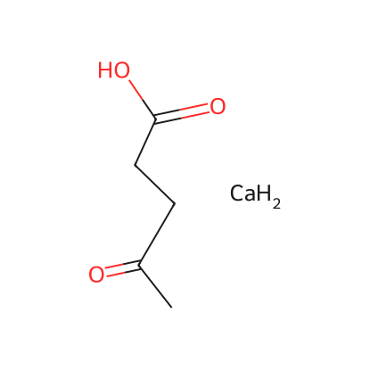 CC(=O)CCC(=O)O.[CaH2]